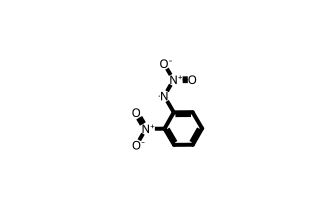 O=[N+]([O-])[N]c1ccccc1[N+](=O)[O-]